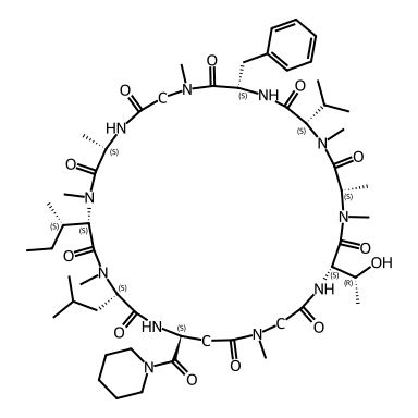 CC[C@H](C)[C@H]1C(=O)N(C)[C@@H](CC(C)C)C(=O)N[C@H](C(=O)N2CCCCC2)CC(=O)N(C)CC(=O)N[C@@H]([C@@H](C)O)C(=O)N(C)[C@@H](C)C(=O)N(C)[C@@H](C(C)C)C(=O)N[C@@H](Cc2ccccc2)C(=O)N(C)CC(=O)N[C@@H](C)C(=O)N1C